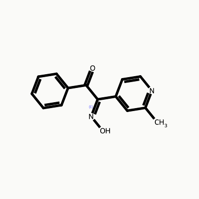 Cc1cc(/C(=N\O)C(=O)c2ccccc2)ccn1